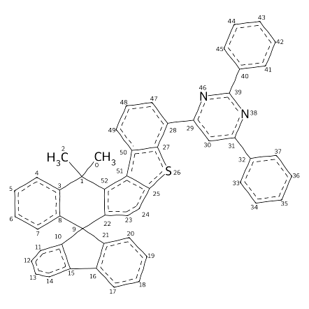 CC1(C)c2ccccc2C2(c3ccccc3-c3ccccc32)c2ccc3sc4c(-c5cc(-c6ccccc6)nc(-c6ccccc6)n5)cccc4c3c21